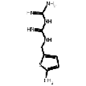 Cc1ccc(CNC(=N)NC(=N)N)s1